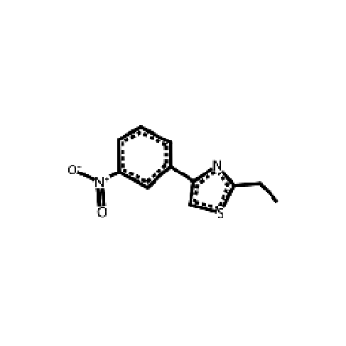 CCc1nc(-c2cccc([N+](=O)[O-])c2)cs1